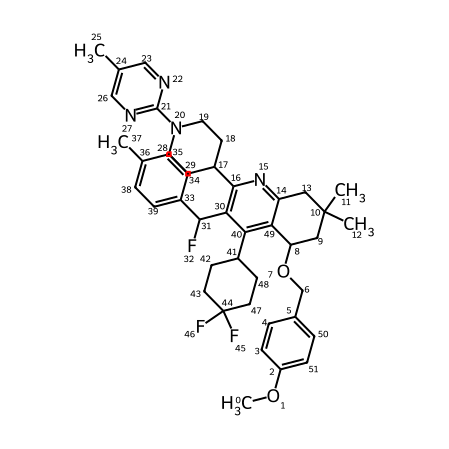 COc1ccc(COC2CC(C)(C)Cc3nc(C4CCN(c5ncc(C)cn5)CC4)c(C(F)c4ccc(C)cc4)c(C4CCC(F)(F)CC4)c32)cc1